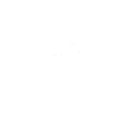 Cc1cc(I)ccc1-n1nc(C(F)(F)F)cc1O